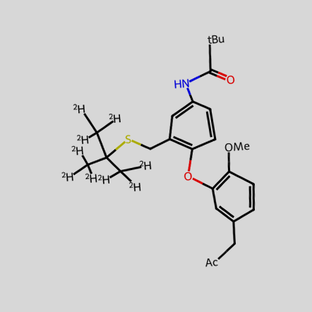 [2H]C([2H])([2H])C(SCc1cc(NC(=O)C(C)(C)C)ccc1Oc1cc(CC(C)=O)ccc1OC)(C([2H])([2H])[2H])C([2H])([2H])[2H]